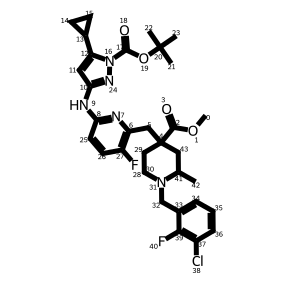 COC(=O)C1(Cc2nc(Nc3cc(C4CC4)n(C(=O)OC(C)(C)C)n3)ccc2F)CCN(Cc2cccc(Cl)c2F)C(C)C1